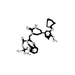 COc1ccc(C2CNC(=O)N(Cc3nc4ccccc4n3C(=O)OC(C)(C)C)C2)cc1OC1CCCC1